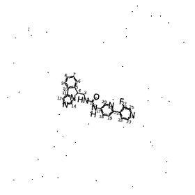 O=C(NCC1c2ccccc2-c2cncn21)Nc1ccc(-c2ccncc2F)nc1